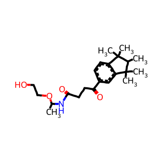 CC(NC(=O)CCC(=O)c1ccc2c(c1)C(C)(C)C(C)C2(C)C)OCCO